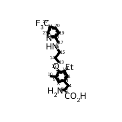 CCc1cc(C[C@H](N)C(=O)O)cc(C)c1OCCCNCc1ccc(C(F)(F)F)cn1